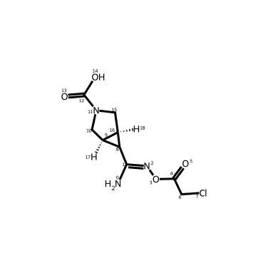 N/C(=N\OC(=O)CCl)C1[C@H]2CN(C(=O)O)C[C@@H]12